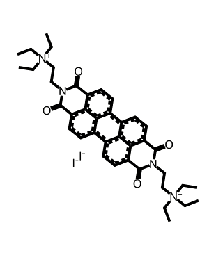 CC[N+](CC)(CC)CCN1C(=O)c2ccc3c4ccc5c6c(ccc(c7ccc(c2c37)C1=O)c64)C(=O)N(CC[N+](CC)(CC)CC)C5=O.[I-].[I-]